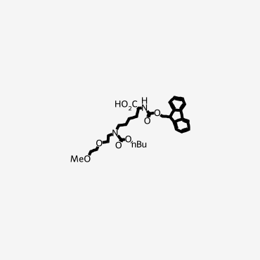 CCCCOC(=O)N(CCCCC(NC(=O)OCC1c2ccccc2-c2ccccc21)C(=O)O)CCOCCOC